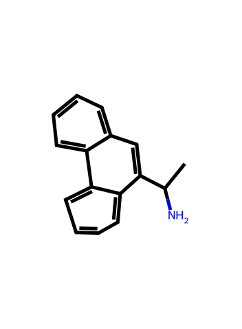 CC(N)c1cc2ccccc2c2ccccc12